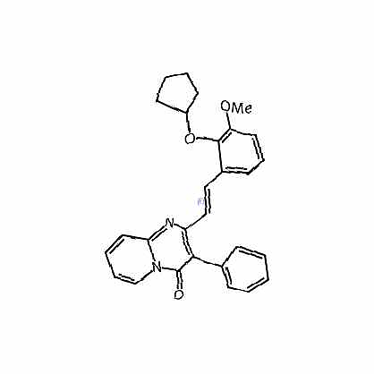 COc1cccc(/C=C/c2nc3ccccn3c(=O)c2-c2ccccc2)c1OC1CCCC1